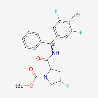 CC(C)c1c(F)cc([C@@H](NC(=O)C2CC(F)CN2C(=O)OC(C)(C)C)c2ccccc2)cc1F